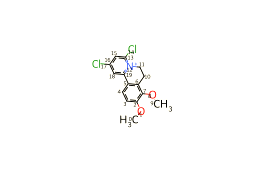 COc1ccc2c(c1OC)CC[n+]1c(Cl)cc(Cl)cc1-2